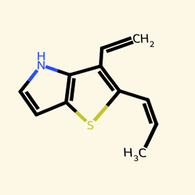 C=Cc1c(/C=C\C)sc2cc[nH]c12